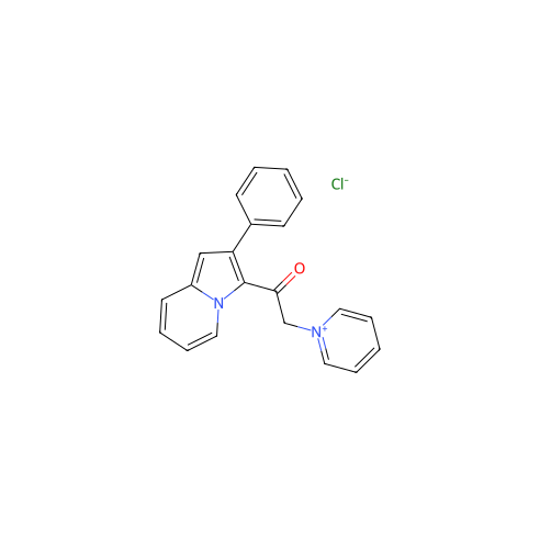 O=C(C[n+]1ccccc1)c1c(-c2ccccc2)cc2ccccn12.[Cl-]